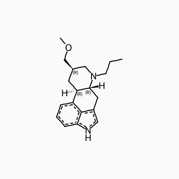 CCCN1C[C@H](COC)C[C@@H]2c3cccc4[nH]cc(c34)C[C@H]21